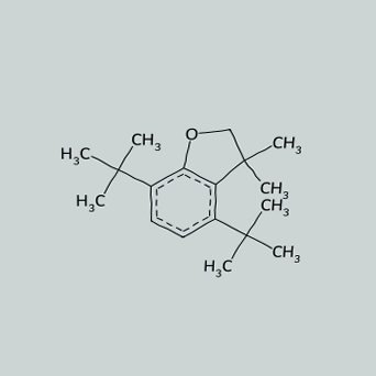 CC(C)(C)c1ccc(C(C)(C)C)c2c1OCC2(C)C